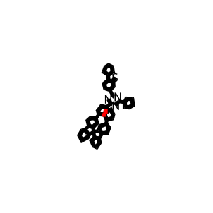 c1ccc(-c2ccc3c(c2)C2(c4ccccc4-3)c3ccccc3-c3ccc(-c4ccc(-c5nc(-c6ccccc6)nc(-c6ccc7c(c6)sc6ccccc67)n5)cc4)cc32)cc1